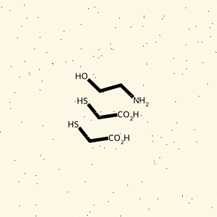 NCCO.O=C(O)CS.O=C(O)CS